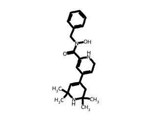 CC1(C)C=C(C2=CCNC(C(=O)N(O)Cc3ccccc3)=C2)CC(C)(C)N1